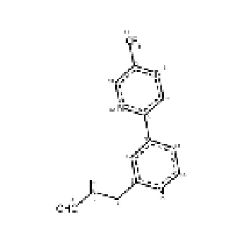 O=CNCc1cc(-c2cnc(C(F)(F)F)cn2)ccn1